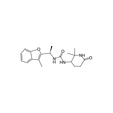 Cc1c([C@@H](C)NC(=O)NC2CCC(=O)NC2(C)C)oc2ccccc12